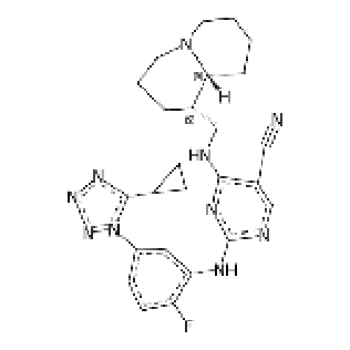 N#Cc1cnc(Nc2cc(-n3nnnc3C3CC3)ccc2F)nc1NC[C@@H]1CCCN2CCCC[C@H]12